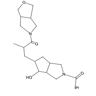 CC(C)C(=O)N1CC2CC(CC(C)C(=O)N3CC4COCC4C3)C(O)C2C1